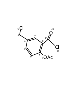 CC(=O)Oc1ccc(CCl)cc1C(=O)Cl